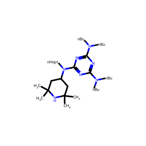 CCCCCCCN(c1nc(N(CCCC)CCCC)nc(N(CCCC)CCCC)n1)C1CC(C)(C)NC(C)(C)C1